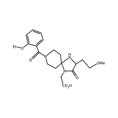 CCOc1ccccc1C(=O)N1CCC2(CC1)NC(CCSC)C(=O)N2CC(=O)O